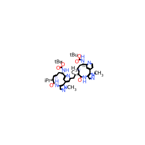 CC(Cc1cc2cc(n1)[C@@H](NC(=O)OC(C)(C)C)C/C=C/[C@H](C(C)C)C(=O)Nc1cnn(C)c1-2)[C@@H]1/C=C/C[C@H](NC(=O)OC(C)(C)C)c2cc(ccn2)-c2c(cnn2C)NC1=O